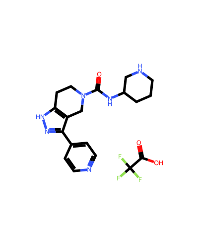 O=C(NC1CCCNC1)N1CCc2[nH]nc(-c3ccncc3)c2C1.O=C(O)C(F)(F)F